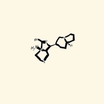 N[N+]12C=CN=CC1=C([C@@H]1CC[C@H]3CCCN3C1)N=C2Br